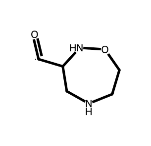 O=[C]C1CNCCON1